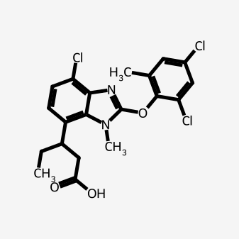 CCC(CC(=O)O)c1ccc(Cl)c2nc(Oc3c(C)cc(Cl)cc3Cl)n(C)c12